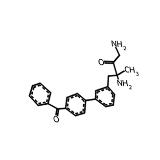 CC(N)(Cc1cccc(-c2ccc(C(=O)c3ccccc3)cc2)c1)C(=O)CN